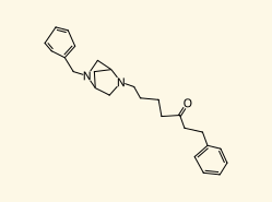 O=C(CCCCN1CC2CC1CN2Cc1ccccc1)CCc1ccccc1